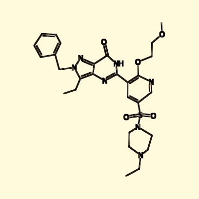 CCc1c2nc(-c3cc(S(=O)(=O)N4CCN(CC)CC4)cnc3OCCOC)[nH]c(=O)c2nn1Cc1ccccc1